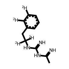 [2H]c1cccc(CC([2H])([2H])NC(=N)NC(C)=N)c1[2H]